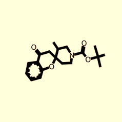 CC1CN(C(=O)OC(C)(C)C)CCC12CC(=O)c1ccccc1O2